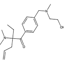 C=CCC(CC)(C(=O)c1ccc(CN(C)CCO)cc1)N(C)C